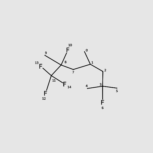 CC(CC(C)(C)F)CC(C)(F)C(F)(F)F